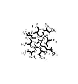 CCCC[O][Ti]([O]CCCC)([O][Si](OC(C)CC)(OC(C)CC)OC(C)CC)[O][Si](OC(C)CC)(OC(C)CC)OC(C)CC